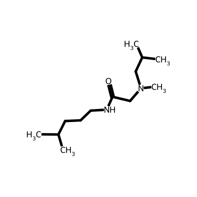 CC(C)CCCNC(=O)CN(C)CC(C)C